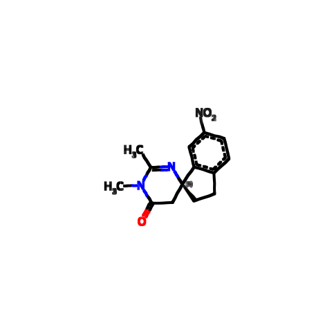 CC1=N[C@@]2(CCc3ccc([N+](=O)[O-])cc32)CC(=O)N1C